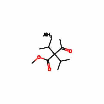 COC(=O)C(C(C)=O)(C(C)C)C(C)C.[AlH3]